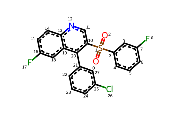 O=S(=O)(c1cccc(F)c1)c1cnc2ccc(F)cc2c1-c1cccc(Cl)c1